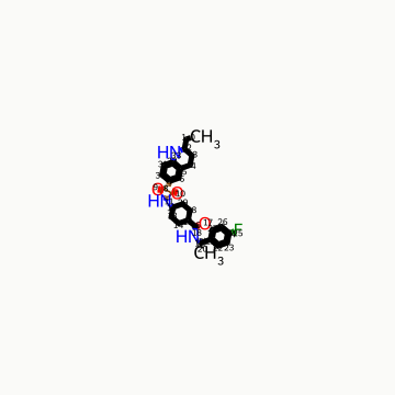 CCC1CCc2cc(S(=O)(=O)NC3CCC(C(=O)N[C@H](C)c4ccc(F)cc4)CC3)ccc2N1